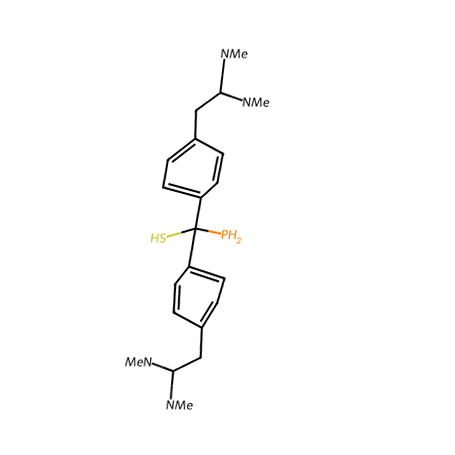 CNC(Cc1ccc(C(P)(S)c2ccc(CC(NC)NC)cc2)cc1)NC